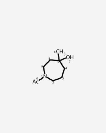 CC(=O)N1CCCC(C)(O)CC1